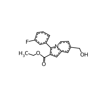 CCOC(=O)c1cc2cc(CO)ccn2c1-c1cccc(F)c1